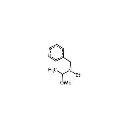 CCN(Cc1ccccc1)C(C)OC